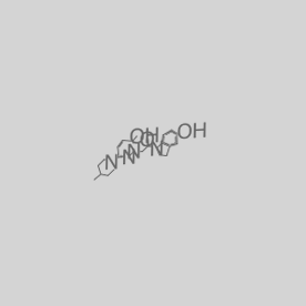 CC1CCN(C2=NN(CC(=O)N3CCc4cc(O)ccc43)C(O)C=C2)CC1